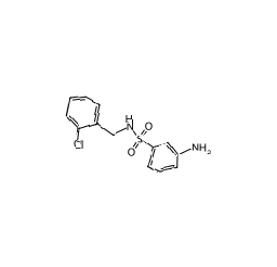 Nc1c[c]cc(S(=O)(=O)NCc2ccccc2Cl)c1